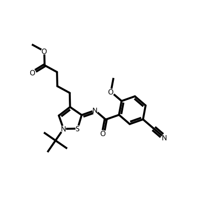 COC(=O)CCCc1cn(C(C)(C)C)sc1=NC(=O)c1cc(C#N)ccc1OC